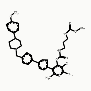 Cc1nc(C)c(-c2ccc(-c3ccc(CN4CCC(c5ccc(OC(F)(F)F)cc5)CC4)cc3)cc2)c(OC(=O)NCCCNC(=O)OC(C)(C)C)c1Cl